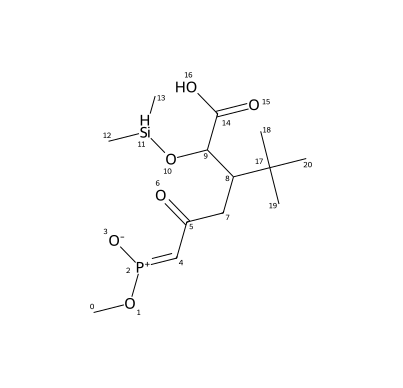 CO/[P+]([O-])=C/C(=O)CC(C(O[SiH](C)C)C(=O)O)C(C)(C)C